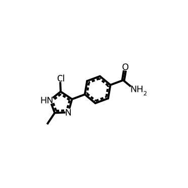 Cc1nc(-c2ccc(C(N)=O)cc2)c(Cl)[nH]1